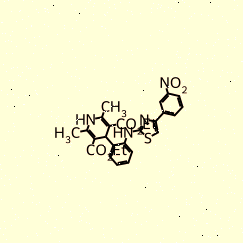 CCOC(=O)C1=C(C)NC(C)=C(C(=O)OCC)C1c1ccccc1Nc1nc(-c2cccc([N+](=O)[O-])c2)cs1